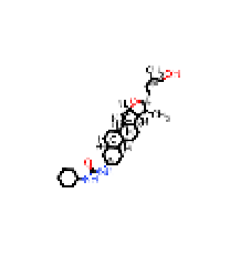 C[C@@H](CO)CC[C@H]1O[C@H]2C[C@H]3[C@@H]4CC[C@@H]5C[C@H](NC(=O)NC6CCCCC6)CC[C@]5(C)[C@H]4CC[C@]3(C)[C@H]2[C@@H]1C